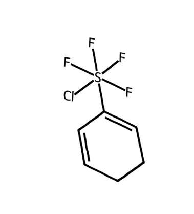 FS(F)(F)(F)(Cl)C1=CCCC=C1